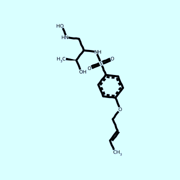 CC=CCOc1ccc(S(=O)(=O)NC(CNO)[C@H](C)O)cc1